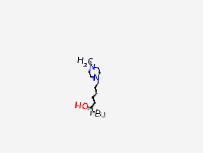 CCCC[C@H](O)CCCCCN1CCN(C)CC1